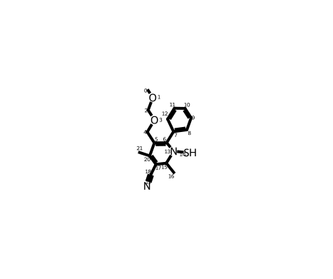 COCOCC1=C(c2ccccc2)N(S)C(C)C(C#N)=C1C